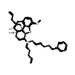 C=CCN1CC[C@]23c4c5ccc(OC)c4OC2C(N(CCCCC)CCCCCCc2ccccc2)CC[C@@]3(O)[C@H]1C5